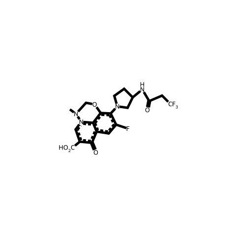 CN1COc2c(N3CCC(NC(=O)CC(F)(F)F)C3)c(F)cc3c(=O)c(C(=O)O)cn1c23